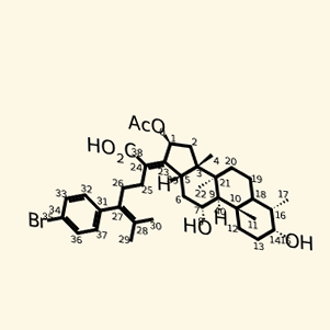 CC(=O)O[C@H]1C[C@@]2(C)[C@H](C[C@@H](O)[C@@H]3[C@@]4(C)CC[C@@H](O)[C@@H](C)C4CC[C@@]32C)C1=C(CCC(=C(C)C)c1ccc(Br)cc1)C(=O)O